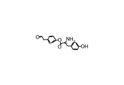 N[C@@H](Cc1ccc(O)cc1)C(=O)Oc1ccc(CC=O)cc1